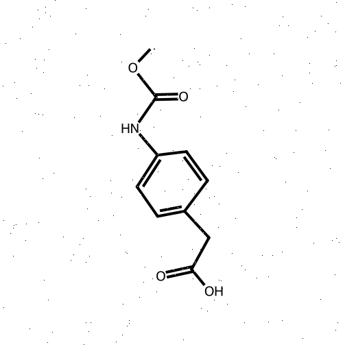 [CH2]OC(=O)Nc1ccc(CC(=O)O)cc1